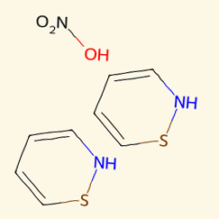 C1=CNSC=C1.C1=CNSC=C1.O=[N+]([O-])O